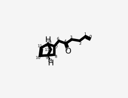 C=CCCC(=O)CC1C[C@@H]2C=C[C@H]1C2